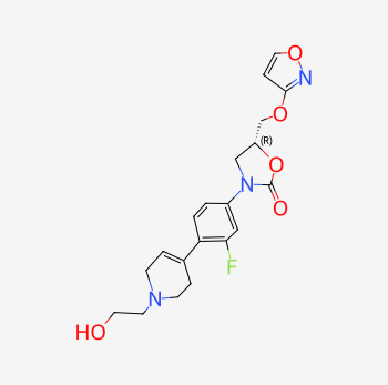 O=C1O[C@@H](COc2ccon2)CN1c1ccc(C2=CCN(CCO)CC2)c(F)c1